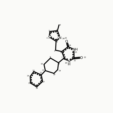 Cc1csc(Cc2c(C3CCC(c4ccccc4)CC3)[nH]c(=O)[nH]c2=O)n1